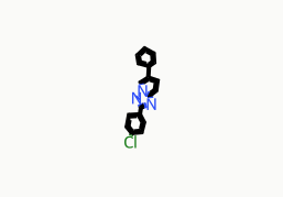 Clc1ccc(-c2nc3ccc(-c4ccccc4)cn3n2)cc1